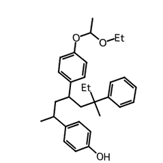 CCOC(C)Oc1ccc(C(CC(C)c2ccc(O)cc2)CC(C)(CC)c2ccccc2)cc1